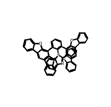 c1ccc(-c2nc3ccccc3n2-c2c(-c3c4oc5ccccc5c4cc4c3oc3ccccc34)cccc2-c2c3oc4ccccc4c3cc3c2oc2ccccc23)cc1